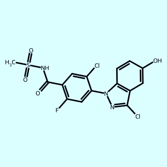 CS(=O)(=O)NC(=O)c1cc(Cl)c(-n2nc(Cl)c3cc(O)ccc32)cc1F